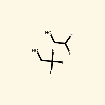 OCC(F)(F)F.OCC(F)F